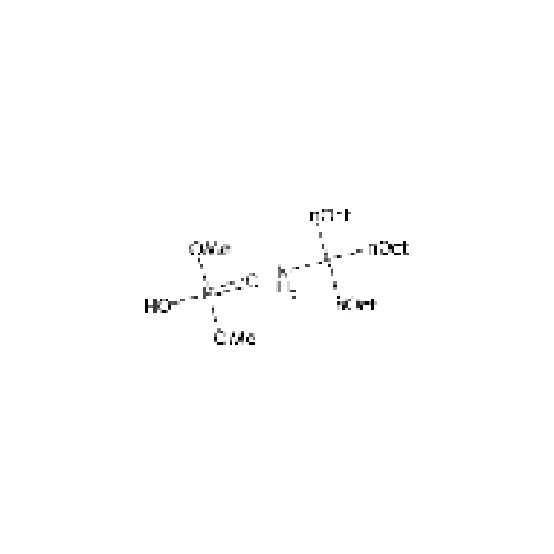 CCCCCCCCC(N)(CCCCCCCC)CCCCCCCC.COP(=O)(O)OC